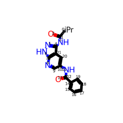 CC(C)C(=O)Nc1n[nH]c2ncc(NC(=O)c3ccccc3)cc12